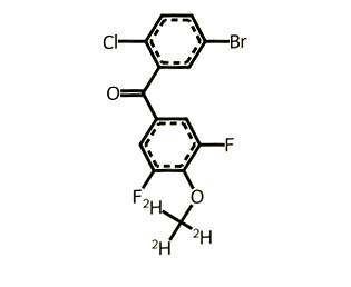 [2H]C([2H])([2H])Oc1c(F)cc(C(=O)c2cc(Br)ccc2Cl)cc1F